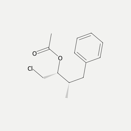 CC(=O)O[C@@H](CCl)[C@@H](C)Cc1ccccc1